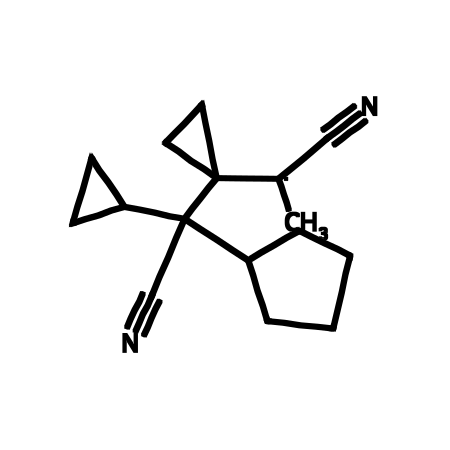 C[C](C#N)C1(C(C#N)(C2CCCC2)C2CC2)CC1